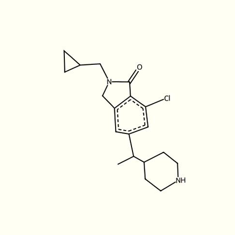 CC(c1cc(Cl)c2c(c1)CN(CC1CC1)C2=O)C1CCNCC1